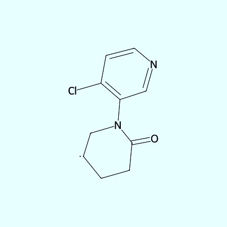 O=C1CC[CH]CN1c1cnccc1Cl